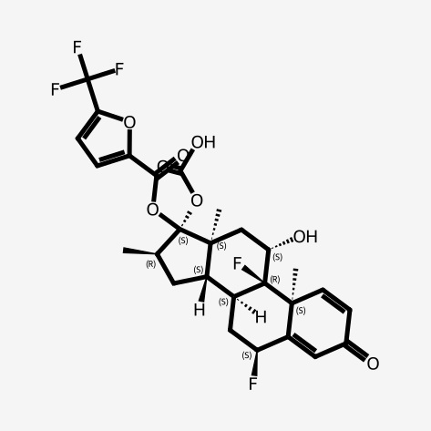 C[C@@H]1C[C@H]2[C@@H]3C[C@H](F)C4=CC(=O)C=C[C@]4(C)[C@@]3(F)[C@@H](O)C[C@]2(C)[C@]1(OC(=O)O)OC(=O)c1ccc(C(F)(F)F)o1